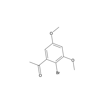 COc1cc(OC)c(Br)c(C(C)=O)c1